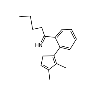 CCCCC(=N)c1ccccc1C1=C(C)C(C)=CC1